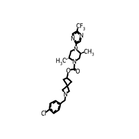 C[C@@H]1CN(c2cnc(C(F)(F)F)cn2)[C@@H](C)CN1C(=O)OC1CC2(C1)CN(Cc1ccc(Cl)cc1)C2